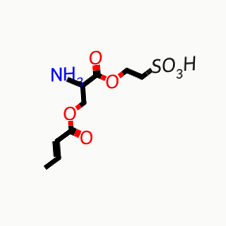 CC=CC(=O)OCC(C)C(=O)OCCS(=O)(=O)O.N